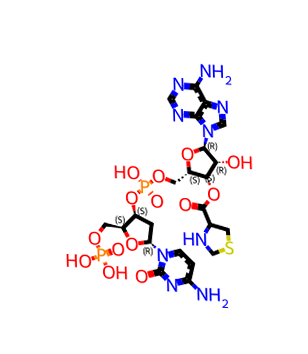 Nc1ccn([C@H]2C[C@H](OP(=O)(O)OC[C@@H]3O[C@@H](n4cnc5c(N)ncnc54)[C@H](O)[C@@H]3OC(=O)C3CSCN3)[C@H](COP(=O)(O)O)O2)c(=O)n1